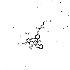 Cc1c(OCC(F)(F)F)ccnc1C[S+]([O-])c1nc2ccccc2n1S(=O)(=O)c1ccc(OCC(=O)NCCCC(=O)[O-])cc1C(C)C.[Na+]